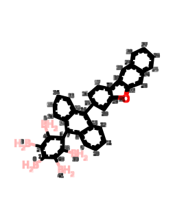 Bc1c(B)c(B)c(-c2c3ccccc3c(-c3ccc4c(c3)oc3cc5ccccc5cc34)c3ccccc23)c(B)c1B